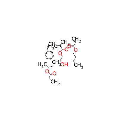 C=C(C)C(=O)OCCO.C=CC(=O)OC(C)CC.C=CC(=O)OCCCC.C=Cc1ccccc1